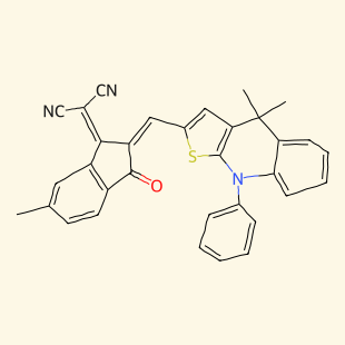 Cc1ccc2c(c1)C(=C(C#N)C#N)/C(=C/c1cc3c(s1)N(c1ccccc1)c1ccccc1C3(C)C)C2=O